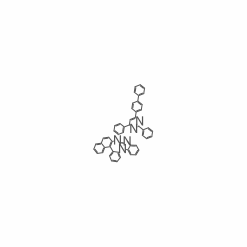 c1ccc(-c2ccc(-c3cc(-c4cccc(N5c6ccc7ccccc7c6-c6ccccc6-n6c5nc5ccccc56)c4)nc(-c4ccccc4)n3)cc2)cc1